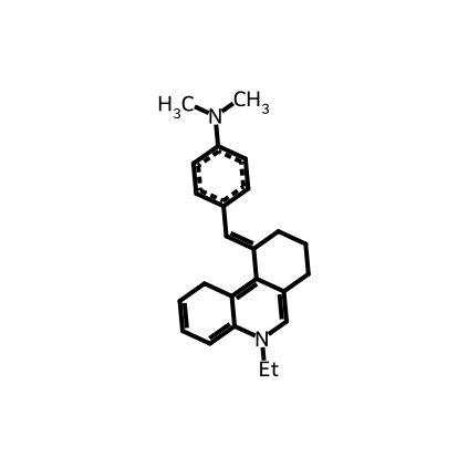 CCN1C=C2CCCC(=Cc3ccc(N(C)C)cc3)C2=C2CC=CC=C21